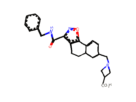 O=C(NCc1ccccc1)c1noc2c1CCC1CC(CN3CC(C(=O)O)C3)CC=C21